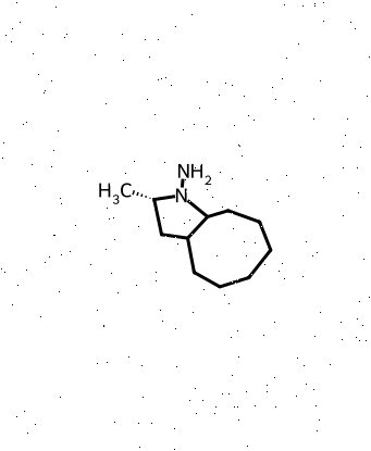 C[C@H]1CC2CCCCCCC2N1N